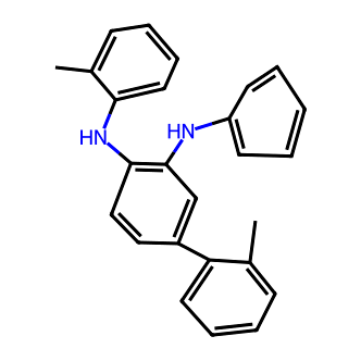 Cc1ccccc1Nc1ccc(-c2ccccc2C)cc1Nc1ccccc1